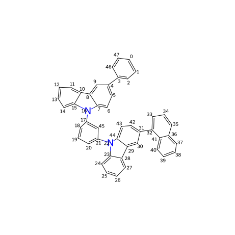 c1ccc(-c2ccc3c(c2)c2ccccc2n3-c2cccc(-n3c4ccccc4c4cc(-c5cccc6ccccc56)ccc43)c2)cc1